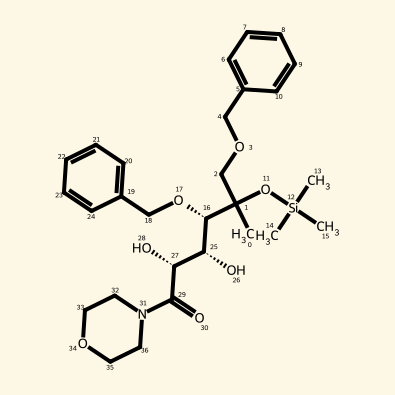 CC(COCc1ccccc1)(O[Si](C)(C)C)[C@@H](OCc1ccccc1)[C@H](O)[C@@H](O)C(=O)N1CCOCC1